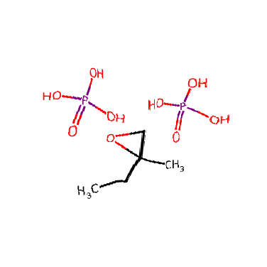 CCC1(C)CO1.O=P(O)(O)O.O=P(O)(O)O